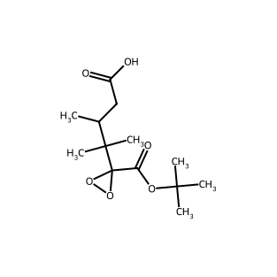 CC(CC(=O)O)C(C)(C)C1(C(=O)OC(C)(C)C)OO1